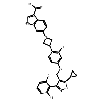 O=C(O)c1c[nH]c2cc(N3CC(c4ccc(OCc5c(-c6c(Cl)cccc6Cl)noc5C5CC5)cc4Cl)C3)ccc12